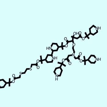 CC(O)(CC(=O)OC(C)(C)C1CCNCC1)C(OCCN(CC(=O)OC(C)(C)C1CCNCC1)CC(=O)OC(C)(C)C1CCNCC1)C(=O)OC(C)(C)C1CCNC(C2CC(C(C)(C)OC(=O)CSCCSCC(=O)OC(C)(C)C3CCNCC3)CCN2)C1